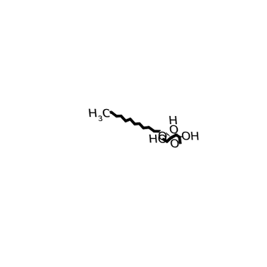 CCCCCCCCCCCCOC[C@@]1(CO)OC[C@@H](O)C1O